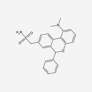 CN(C)c1cccc2c1-c1ccc(CS(N)(=O)=O)cc1C(c1ccccc1)O2